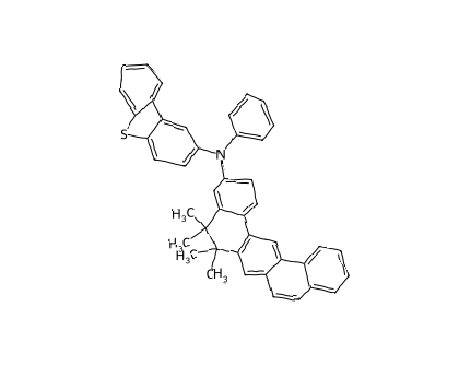 CC1(C)c2cc(N(c3ccccc3)c3ccc4sc5ccccc5c4c3)ccc2-c2cc3c(ccc4ccccc43)cc2C1(C)C